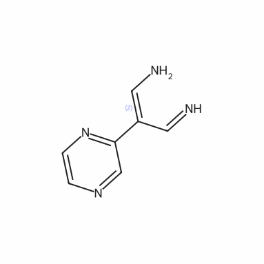 N=C/C(=C\N)c1cnccn1